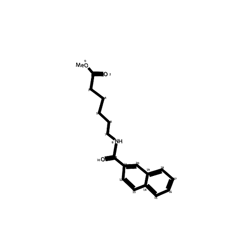 COC(=O)CCCCCNC(=O)c1ccc2ccccc2c1